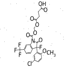 COc1ccc(Cl)cc1C1(F)C(=O)N(C(=O)OCOC(=O)CCC(=O)O)c2cc(C(F)(F)F)ccc21